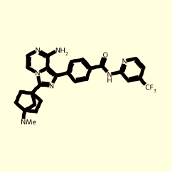 CNC12CCC(c3nc(-c4ccc(C(=O)Nc5cc(C(F)(F)F)ccn5)cc4)c4c(N)nccn34)(CC1)C2